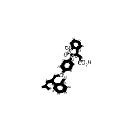 C=C(C)/C=C(/COc1ccc(N2C(CC(=O)O)c3ccccc3S2(=O)=O)cc1)c1ccccc1C